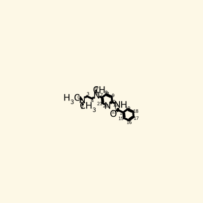 CN(C)CCN(C)c1ccc(NC(=O)c2ccccc2)nc1